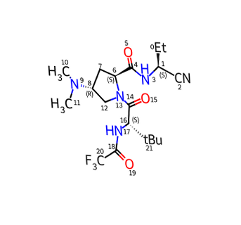 CC[C@@H](C#N)NC(=O)[C@@H]1C[C@@H](N(C)C)CN1C(=O)[C@@H](NC(=O)C(F)(F)F)C(C)(C)C